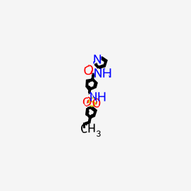 CCCc1ccc(S(=O)(=O)NCc2ccc(C(=O)Nc3cccnc3)cc2)cc1